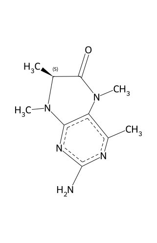 Cc1nc(N)nc2c1N(C)C(=O)[C@H](C)N2C